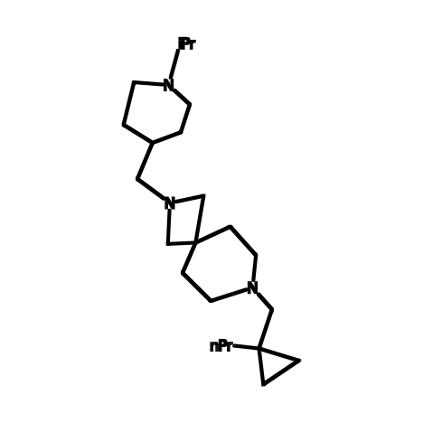 CCCC1(CN2CCC3(CC2)CN(CC2CCN(C(C)C)CC2)C3)CC1